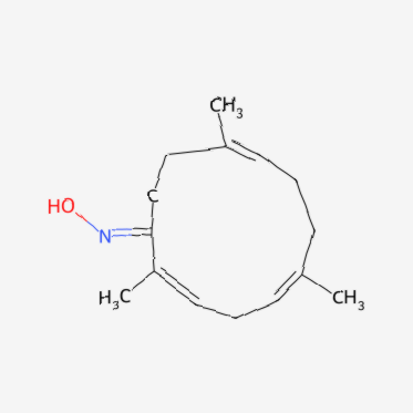 C/C1=C/C/C=C(C)\C(=N\O)CC/C(C)=C\CC1